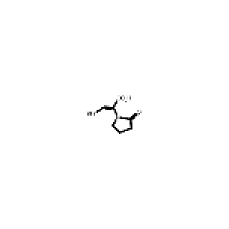 CCC/C=C(/C(=O)O)N1CCCC1=O